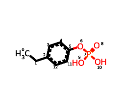 CCc1ccc(OP(=O)(O)O)cc1